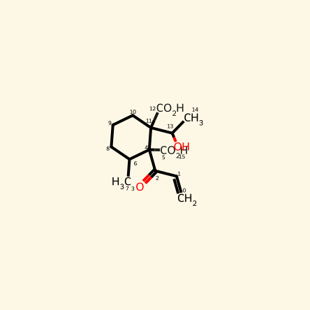 C=CC(=O)C1(C(=O)O)C(C)CCCC1(C(=O)O)C(C)O